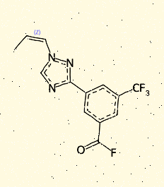 C/C=C\n1cnc(-c2cc(C(=O)F)cc(C(F)(F)F)c2)n1